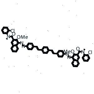 COc1c(C(=O)N(C)c2ccccc2Cl)cc2ccccc2c1N=Nc1ccc(C=Cc2ccc(C=Cc3ccc(N=Nc4c(OC)c(C(=O)N(C)c5ccccc5Cl)cc5ccccc45)cc3)cc2)cc1